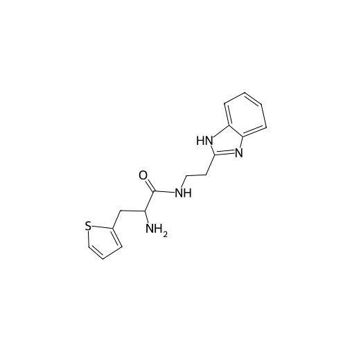 NC(Cc1cccs1)C(=O)NCCc1nc2ccccc2[nH]1